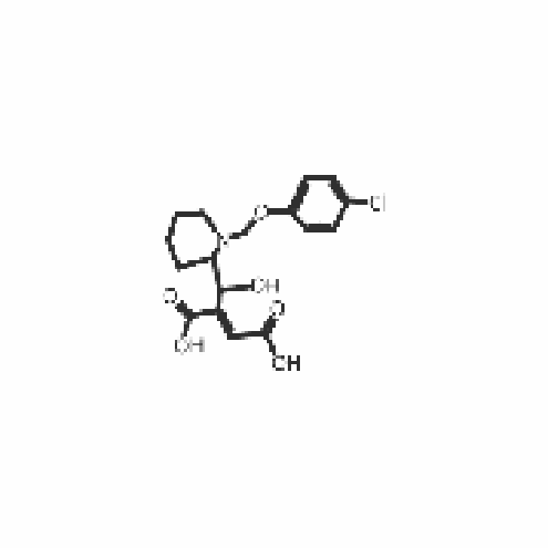 O=C(O)/C=C(/C(=O)O)C(O)C1CCCCN1COc1ccc(Cl)cc1